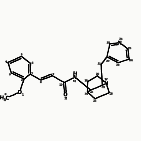 COc1ccccc1C=CC(=O)NC1C2CCN(CC2)C1Cc1cccnc1